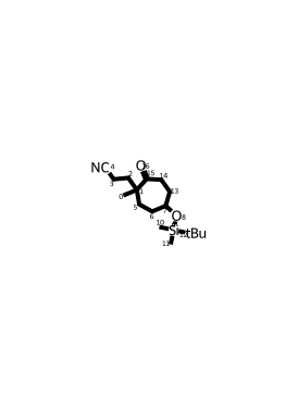 CC1(CCC#N)CCC(O[Si](C)(C)C(C)(C)C)CCC1=O